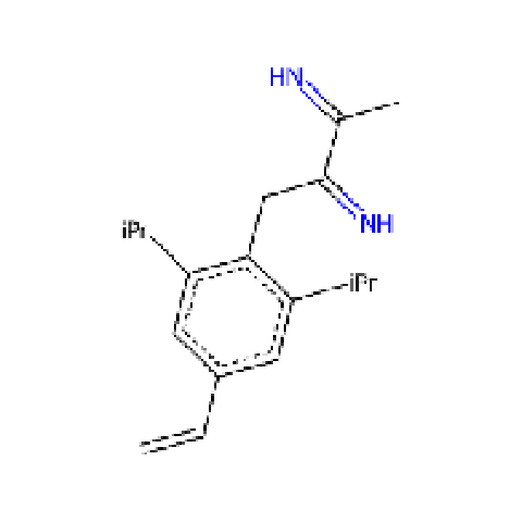 C=Cc1cc(C(C)C)c(CC(=N)C(C)=N)c(C(C)C)c1